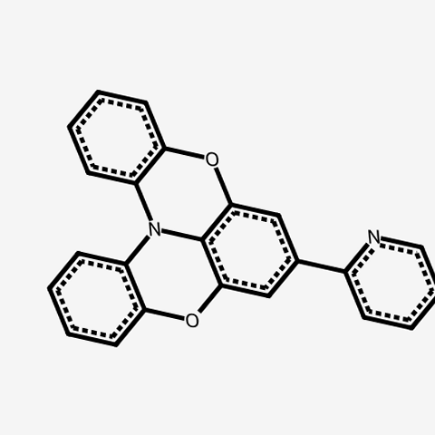 c1ccc(-c2cc3c4c(c2)Oc2ccccc2N4c2ccccc2O3)nc1